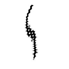 CCCCCCCCCCCCCCc1cc2cc3ccc4c5cc6c(cc(CCCCCCCCCCCCCC)n6C)cc5ccc4c3cc2n1C